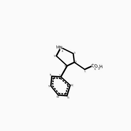 O=C(O)CC1CNCC1c1ccccc1